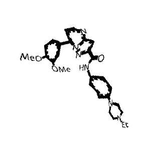 CCN1CCN(c2ccc(NC(=O)c3cc4nccc(-c5ccc(OC)c(OC)c5)n4n3)cc2)CC1